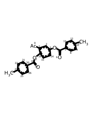 CC(=O)c1cc(OC(=O)c2ccc(C)cc2)ccc1OC(=O)c1ccc(C)cc1